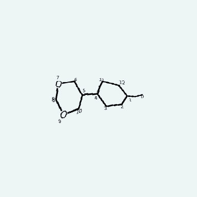 CC1CCC(C2COCOC2)CC1